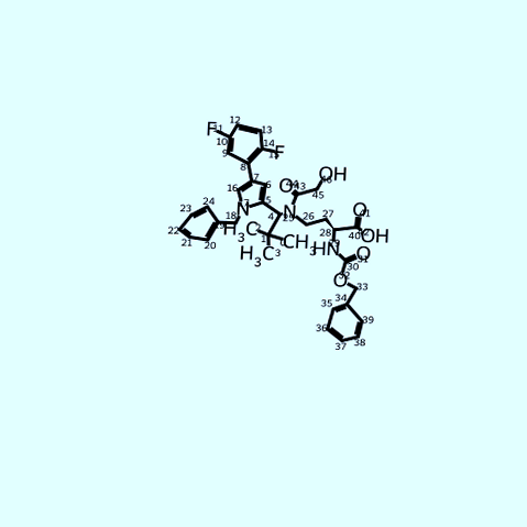 CC(C)(C)[C@H](c1cc(-c2cc(F)ccc2F)cn1Cc1ccccc1)N(CC[C@H](NC(=O)OCc1ccccc1)C(=O)O)C(=O)CO